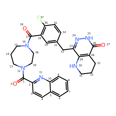 O=C(c1ccc2ccccc2n1)N1CCCN(C(=O)c2cc(Cc3n[nH]c(=O)c4c3NCCC4)ccc2F)CC1